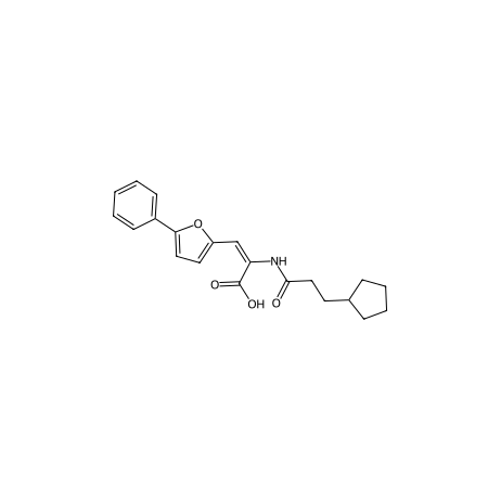 O=C(CCC1CCCC1)N/C(=C/c1ccc(-c2ccccc2)o1)C(=O)O